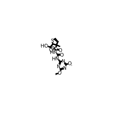 COc1nc(NC(=O)NS(=O)(=O)C2(C)C=CSC2C(=O)O)nc(OC)n1